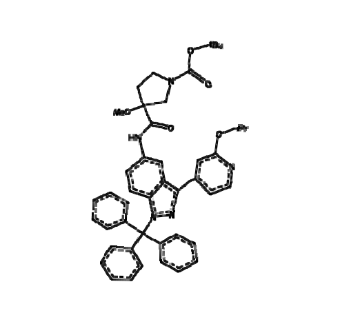 COC1(C(=O)Nc2ccc3c(c2)c(-c2ccnc(OC(C)C)c2)nn3C(c2ccccc2)(c2ccccc2)c2ccccc2)CCN(C(=O)OC(C)(C)C)C1